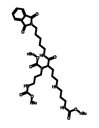 CCCCOC(=O)NCCCNCCCC(C(=O)NCCCCCN1C(=O)c2ccccc2C1=O)N(CCCNC(=O)OCCCC)C(=O)OCCCC